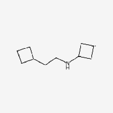 [CH]1CC(NCCC2CCC2)C1